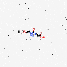 COCCn1nnn(C=CC(=O)O)c1=O